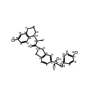 C[C@@H](C(=O)N1Cc2ccc(S(=O)(=O)Nc3ccc(Cl)nn3)cc2C1)N1CCCc2cc(Cl)ccc21